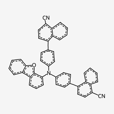 N#Cc1ccc(-c2ccc(N(c3ccc(-c4ccc(C#N)c5ccccc45)cc3)c3cccc4c3oc3ccccc34)cc2)c2ccccc12